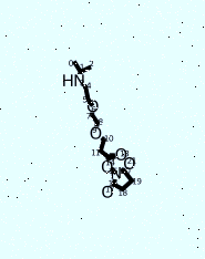 CC(C)NCCOCCOCCC(=O)ON1C(=O)CCC1=O